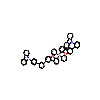 c1ccc([Si](c2ccccc2)(c2cccc3c2oc2ccc(-c4cccc(-c5ccc(-n6c7ccccc7c7ccccc76)cc5)c4)cc23)c2cccc3c2oc2ccc(-c4ccccc4-n4c5ccccc5c5ccccc54)cc23)cc1